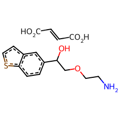 NCCOCC(O)c1ccc2sccc2c1.O=C(O)/C=C/C(=O)O